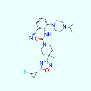 CC(C)N1CCN(c2cccc(C#N)c2NC(=O)N2CCC(C)(c3noc([C@@H]4C[C@@H]4F)n3)CC2)CC1